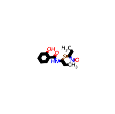 C/C=C(/N=O)S/C(=C\C)NC(=O)c1ccccc1O